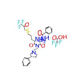 N[C@@H](CCCSCC(=O)C(F)(F)F)C(=O)N(CCN1CCC(c2ccccc2)C1)C(=O)CNC(=O)c1ccccc1.O=C(O)C(F)(F)F